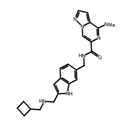 CNc1nc(C(=O)NCc2ccc3cc(CNCC4CCC4)[nH]c3c2)cn2nccc12